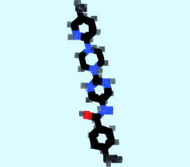 COc1ccc(C(=O)Nc2cnc(N3CCN(c4ccc(C#N)cn4)CC3)nc2)cc1